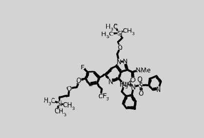 CNC(=O)c1nn(COCC[Si](C)(C)C)c2cc(-c3cc(F)c(OCOCC[Si](C)(C)C)cc3CC(F)(F)F)nc(NCc3ccccc3N(C)S(=O)(=O)c3cccnc3)c12